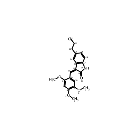 COc1cc(OC)c(OC)cc1C=C1C(=O)Nc2ccc(CCCl)cc21